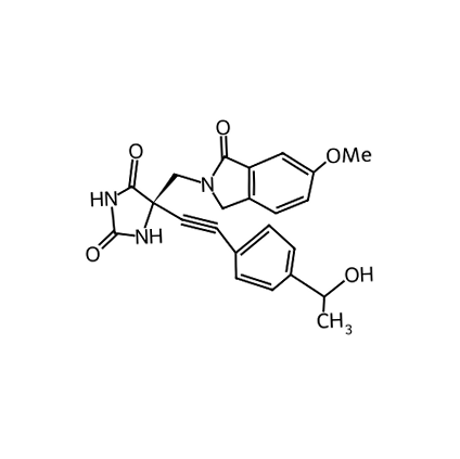 COc1ccc2c(c1)C(=O)N(C[C@@]1(C#Cc3ccc(C(C)O)cc3)NC(=O)NC1=O)C2